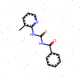 Cc1cccnc1NC(=S)NC(=O)c1ccccc1